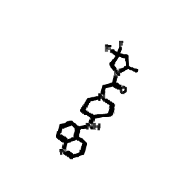 C[C@@H]1CC(F)(F)CN1C(=O)CN1CCC(Nc2cccc3ncccc23)CC1